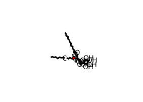 CCCCCCCCCCCCCC(=O)OCC(COP(=O)(O)OC1[C@@H](O)[C@H](O)C(O)[C@H](O)[C@@H]1O)OC(=O)CCCCCCCCCCCCC